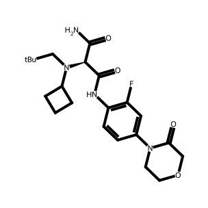 CC(C)(C)CN(C1CCC1)[C@@H](C(N)=O)C(=O)Nc1ccc(N2CCOCC2=O)cc1F